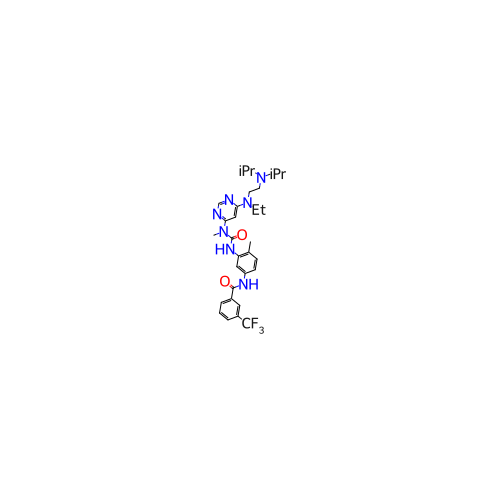 CCN(CCN(C(C)C)C(C)C)c1cc(N(C)C(=O)Nc2cc(NC(=O)c3cccc(C(F)(F)F)c3)ccc2C)ncn1